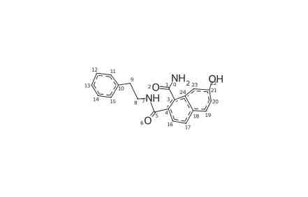 NC(=O)c1c(C(=O)NCCc2ccccc2)ccc2ccc(O)cc12